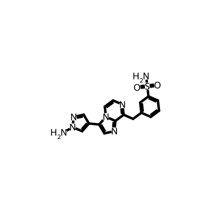 Nn1cc(-c2cnc3c(Cc4cccc(S(N)(=O)=O)c4)nccn23)cn1